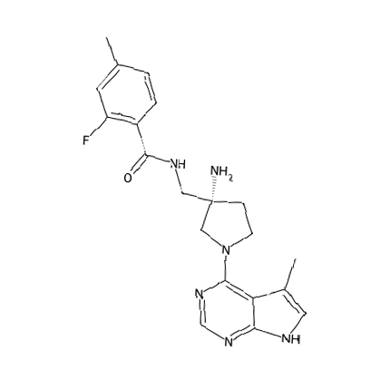 Cc1ccc(C(=O)NC[C@@]2(N)CCN(c3ncnc4[nH]cc(C)c34)C2)c(F)c1